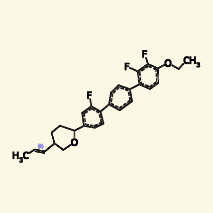 C/C=C/C1CCC(c2ccc(-c3ccc(-c4ccc(OCC)c(F)c4F)cc3)c(F)c2)OC1